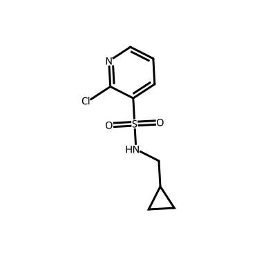 O=S(=O)(NC[C]1CC1)c1cccnc1Cl